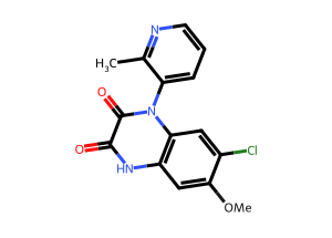 COc1cc2[nH]c(=O)c(=O)n(-c3cccnc3C)c2cc1Cl